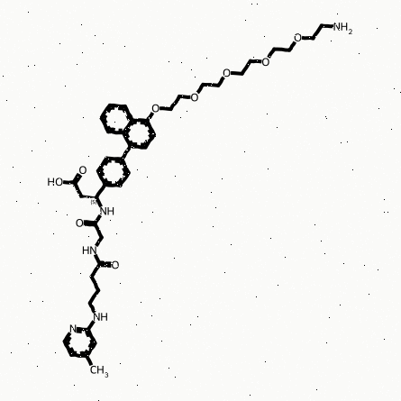 Cc1ccnc(NCCCC(=O)NCC(=O)N[C@@H](CC(=O)O)c2ccc(-c3ccc(OCCOCCOCCOCCOCCN)c4ccccc34)cc2)c1